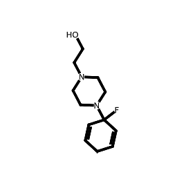 OCCN1CCN(C2(F)C=C[CH]C=C2)CC1